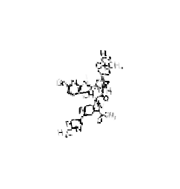 CC(=O)c1nn(CC(=O)N2[C@H](C(=O)Nc3nc(Br)ccc3C)C[C@@]3([C@H]4COC(C)(C)O4)C[C@@H]23)c2cnc(-c3cnc(C)nc3)cc12